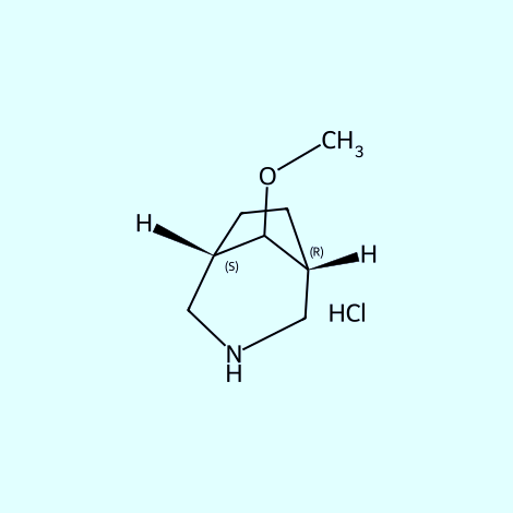 COC1[C@@H]2CC[C@H]1CNC2.Cl